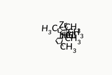 CC1=Cc2c(-c3cccc(C)c3)c(C)c(C)c(C)c2[C@H]1[Zr].Cl.Cl